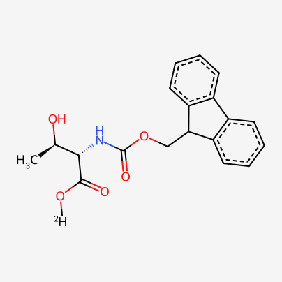 [2H]OC(=O)[C@@H](NC(=O)OCC1c2ccccc2-c2ccccc21)[C@@H](C)O